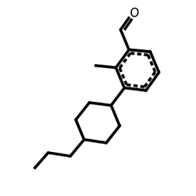 CCCC1CCC(c2cccc(C=O)c2C)CC1